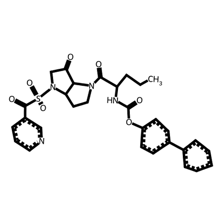 CCCC(NC(=O)Oc1ccc(-c2ccccc2)cc1)C(=O)N1CCC2C1C(=O)CN2S(=O)(=O)C(=O)c1cccnc1